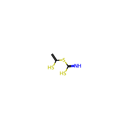 C=C(S)SC(=N)S